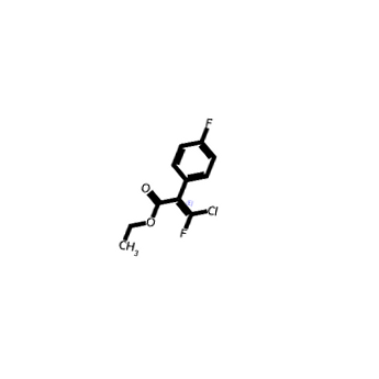 CCOC(=O)/C(=C(\F)Cl)c1ccc(F)cc1